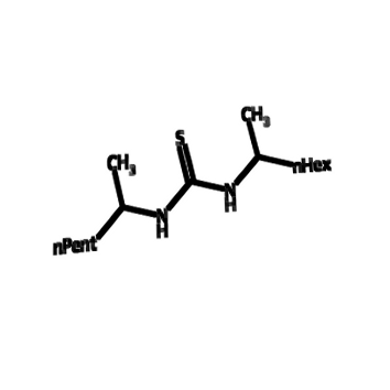 CCCCCCC(C)NC(=S)NC(C)CCCCC